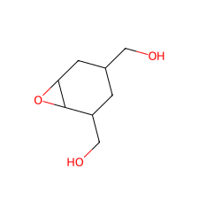 OCC1CC(CO)C2OC2C1